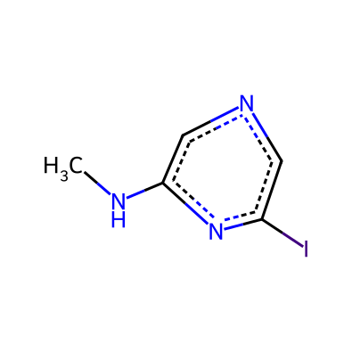 CNc1cncc(I)n1